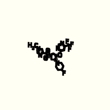 Cn1cnc(S(=O)(=O)N2C[C@H](Oc3cc(C(F)(F)F)ncn3)[C@@H](N3CCC(F)CC3)C2)c1